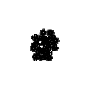 CC1=C2[C@@H](C)[C@H](O)[C@@]3(C)C([C@H](OC(=O)c4ccccc4)[C@](O)(C[C@@H]1OC(=O)[C@H](OC(=O)[C@@H]1OC(C)(C)O[C@H]1C(=O)O[C@@H](C(=O)O[C@H]1C[C@@]4(O)[C@@H](OC(=O)c5ccccc5)C5[C@@](C)([C@@H](C)C[C@H]6OC[C@@]56C)[C@@H](O)[C@H](C)C(=C1C)C4(C)C)[C@@H](NC(=O)c1ccccc1)c1ccccc1)[C@@H](NC(=O)c1ccccc1)c1ccccc1)C2(C)C)[C@]1(C)CO[C@@H]1C[C@@H]3C